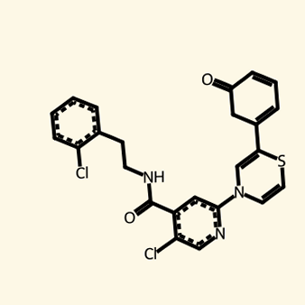 O=C1C=CC=C(C2=CN(c3cc(C(=O)NCCc4ccccc4Cl)c(Cl)cn3)C=CS2)C1